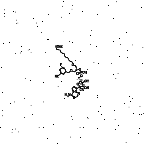 CCCCCCCCCCCCCCCCCCOC[C@H](COCc1cc(F)cc(C#N)c1)OP(=O)(O)OC[C@H]1O[C@@](C#N)(c2ccc3c(N)ncnn23)[C@H](O)[C@@H]1O